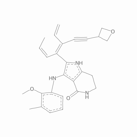 C=C/C(C#CC1COC1)=C(\C=C/C)c1[nH]c2c(c1Nc1cccc(C)c1OC)C(=O)NCC2